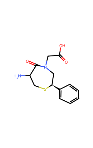 NC1CS[C@H](c2ccccc2)CN(CC(=O)O)C1=O